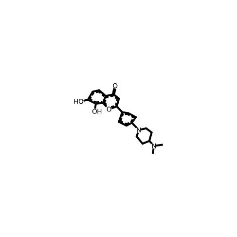 CN(C)C1CCN(c2ccc(-c3cc(=O)c4ccc(O)c(O)c4o3)cc2)CC1